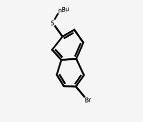 CCCCSc1ccc2cc(Br)ccc2c1